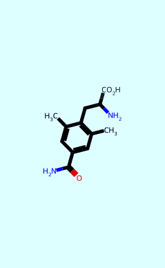 Cc1cc(C(N)=O)cc(C)c1CC(N)C(=O)O